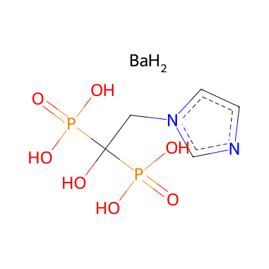 O=P(O)(O)C(O)(Cn1ccnc1)P(=O)(O)O.[BaH2]